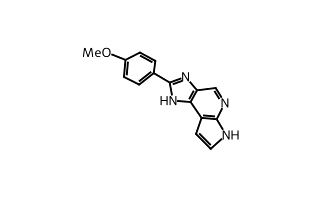 COc1ccc(-c2nc3cnc4[nH]ccc4c3[nH]2)cc1